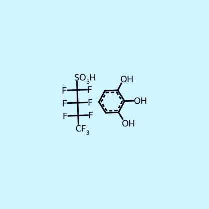 O=S(=O)(O)C(F)(F)C(F)(F)C(F)(F)C(F)(F)F.Oc1cccc(O)c1O